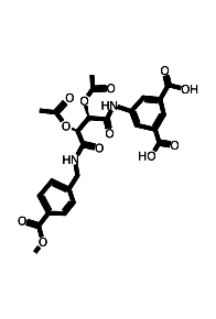 COC(=O)c1ccc(CNC(=O)[C@H](OC(C)=O)[C@@H](OC(C)=O)C(=O)Nc2cc(C(=O)O)cc(C(=O)O)c2)cc1